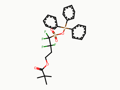 CC(C)(C)C(=O)OCCC(F)(F)C(F)(F)S(=O)(=O)OS(c1ccccc1)(c1ccccc1)c1ccccc1